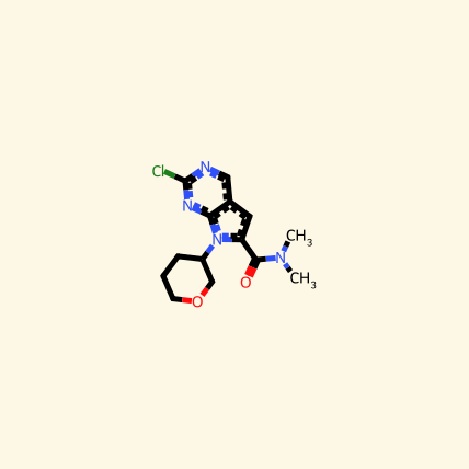 CN(C)C(=O)c1cc2cnc(Cl)nc2n1C1CCCOC1